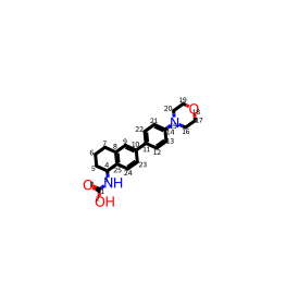 O=C(O)NC1CCCc2cc(-c3ccc(N4CCOCC4)cc3)ccc21